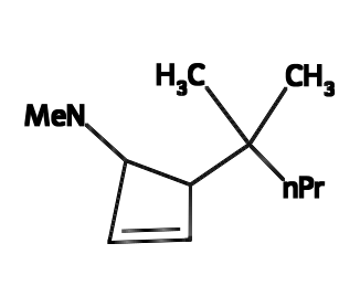 CCCC(C)(C)C1C=CC1NC